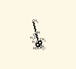 C=C1CC[C@@H]2C(C)(C)[C@H](O)CC[C@@]2(C)[C@@H]1CC/C(C)=C/C(=O)NCCCCCCCC